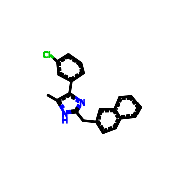 Cc1[nH]c(Cc2ccc3ccccc3c2)nc1-c1cccc(Cl)c1